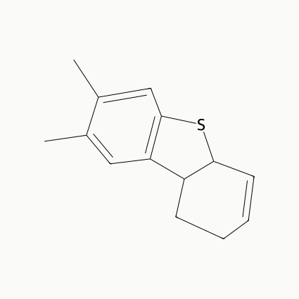 Cc1cc2c(cc1C)C1CCC=CC1S2